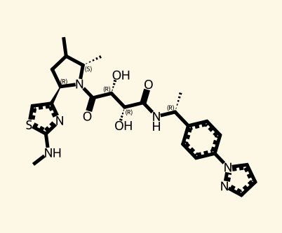 CNc1nc([C@H]2CC(C)[C@H](C)N2C(=O)[C@H](O)[C@@H](O)C(=O)N[C@H](C)c2ccc(-n3cccn3)cc2)cs1